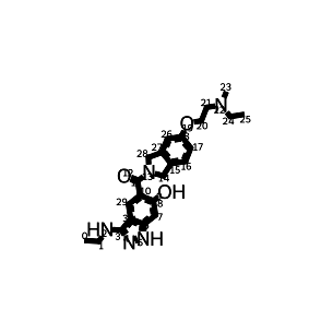 CCNc1n[nH]c2cc(O)c(C(=O)N3Cc4ccc(OCCN(C)CC)cc4C3)cc12